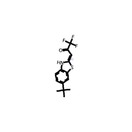 CC(C)(C)c1ccc2c(c1)S/C(=C/C(=O)C(F)(F)F)N2